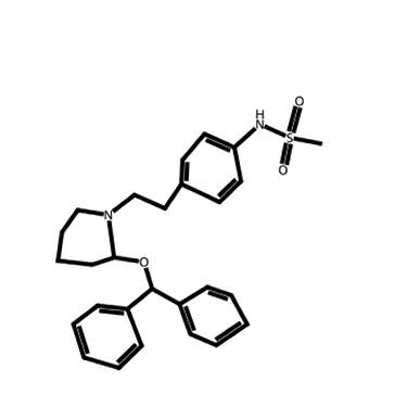 CS(=O)(=O)Nc1ccc(CCN2CCCCC2OC(c2ccccc2)c2ccccc2)cc1